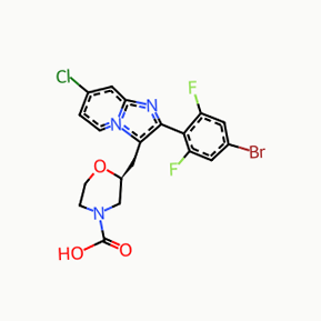 O=C(O)N1CCO[C@@H](Cc2c(-c3c(F)cc(Br)cc3F)nc3cc(Cl)ccn23)C1